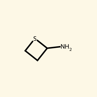 NC1CCS1